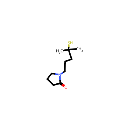 CC(C)(S)CCCN1CCCC1=O